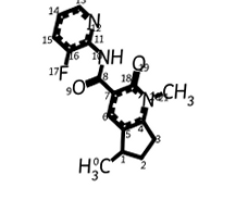 CC1CCc2c1cc(C(=O)Nc1ncccc1F)c(=O)n2C